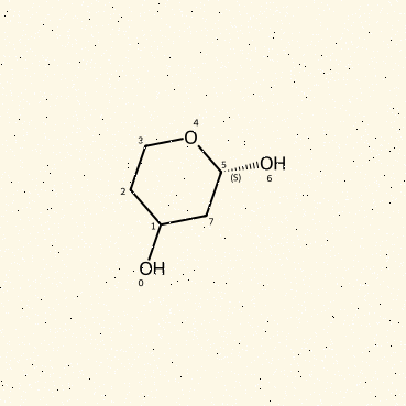 OC1CCO[C@H](O)C1